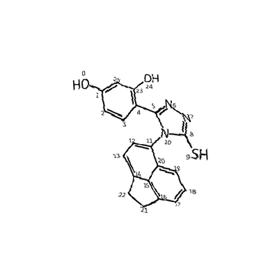 Oc1ccc(-c2nnc(S)n2-c2ccc3c4c(cccc24)CC3)c(O)c1